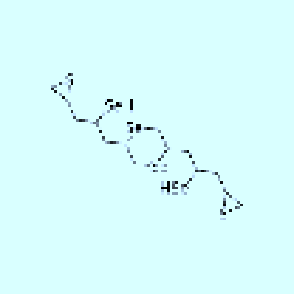 [SeH]C(CC1CS1)CC1C[Se]C(CC([SeH])CC2CS2)C[Se]1